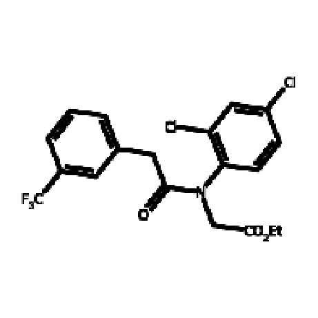 CCOC(=O)CN(C(=O)Cc1cccc(C(F)(F)F)c1)c1ccc(Cl)cc1Cl